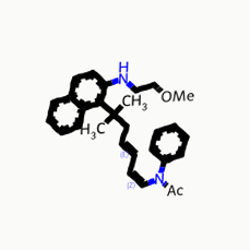 COCCNc1ccc2ccccc2c1C(C)(C)C/C=C/C=C\N(C(C)=O)c1ccccc1